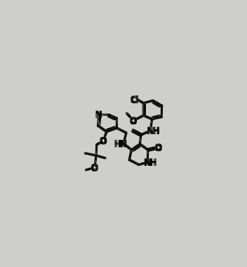 C=C(Nc1cccc(Cl)c1OC)C1=C(NCc2ccncc2OCC(C)(C)OC)CCNC1=O